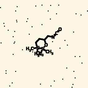 C[Si]1(C)CCC(CN=C=O)O[Si]1(C)C